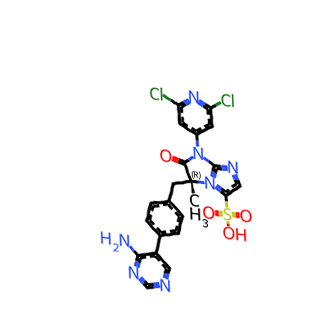 C[C@@]1(Cc2ccc(-c3cncnc3N)cc2)C(=O)N(c2cc(Cl)nc(Cl)c2)c2ncc(S(=O)(=O)O)n21